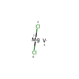 [Cl][Mg][Cl].[V]